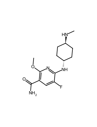 CN[C@H]1CC[C@H](Nc2nc(OC)c(C(N)=O)cc2F)CC1